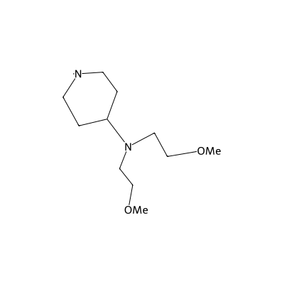 COCCN(CCOC)C1CC[N]CC1